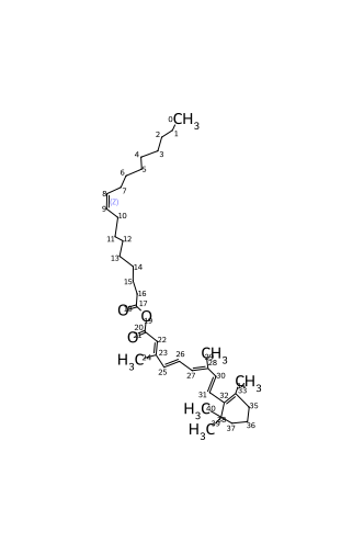 CCCCCCCC/C=C\CCCCCCCC(=O)OC(=O)C=C(C)C=CC=C(C)C=CC1=C(C)CCCC1(C)C